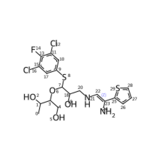 CC(O)C(CO)OC(Sc1cc(Cl)c(F)c(Cl)c1)C(O)CN/C=C(\N)c1cccs1